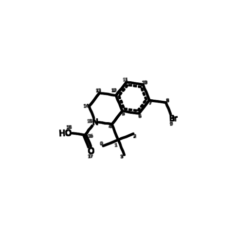 CC(C)(C)C1c2cc(CBr)ccc2CCN1C(=O)O